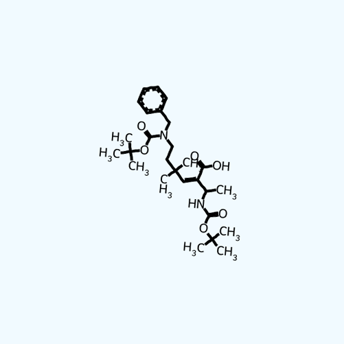 CC(NC(=O)OC(C)(C)C)/C(=C/C(C)(C)CCN(Cc1ccccc1)C(=O)OC(C)(C)C)C(=O)O